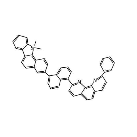 C[Si]1(C)c2ccccc2-c2ccc3cc(-c4cccc5c(-c6ccc7ccc8ccc(-c9ccccc9)nc8c7n6)cccc45)ccc3c21